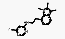 Cc1c(C)n(C)c2c(CCNc3cc(Cl)ncn3)cccc12